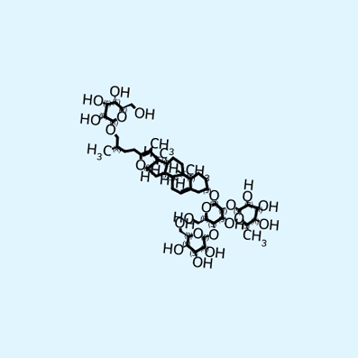 CC1=C(CC[C@@H](C)CO[C@@H]2O[C@H](CO)[C@@H](O)[C@H](O)[C@H]2O)O[C@H]2C[C@H]3[C@@H]4CC=C5C[C@@H](O[C@@H]6O[C@H](CO)[C@@H](O[C@@H]7O[C@H](CO)[C@@H](O)[C@H](O)[C@H]7O)[C@H](O)[C@H]6O[C@@H]6O[C@@H](C)[C@H](O)[C@@H](O)[C@H]6O)CC[C@]5(C)[C@H]4CC[C@]3(C)[C@@H]12